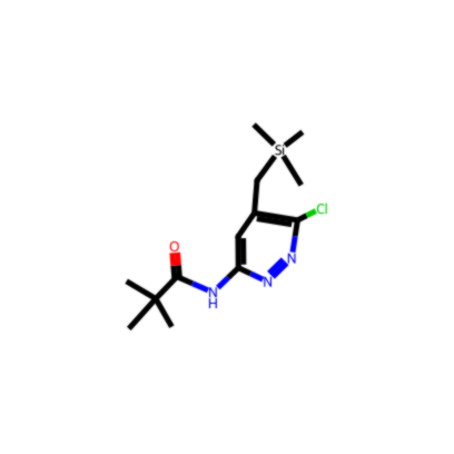 CC(C)(C)C(=O)Nc1cc(C[Si](C)(C)C)c(Cl)nn1